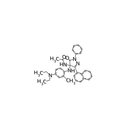 CCN(CC)c1ccc(NC2(NC(C)=O)C(=O)N(c3ccccc3)N=C2c2cccc3ccccc23)c(C)c1